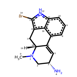 CN1C[C@@H](N)C=C2c3cccc4[nH]c(Br)c(c34)C[C@H]21